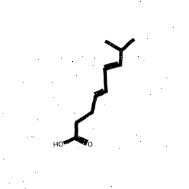 CC(C)C=CC=CCCC(=O)O